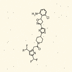 Nc1cccc(Cl)c1C1CC(c2csc(C3CCN(C(=O)Cn4nc(C(F)F)cc4C(F)F)CC3)n2)=NO1